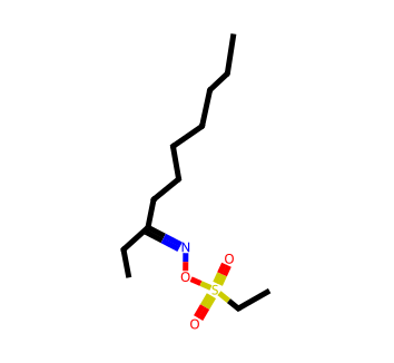 CCCCCCCC(CC)=NOS(=O)(=O)CC